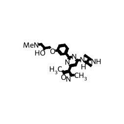 CNCC(O)COc1cccc(-c2nc(-c3c(C)noc3C)cc(N3CC4NC[C@@H]43)n2)c1